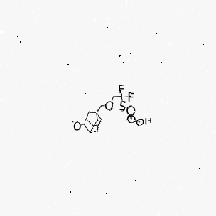 COC1C2CC3CC1CC(COCC(F)(F)SOOO)(C3)C2